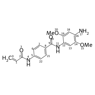 C=CC(=O)Nc1ccc(C(=O)Nc2cc(OC)c(N)cc2OC)cc1